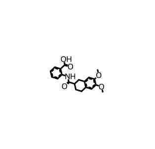 COc1cc2c(cc1OC)CC(C(=O)Nc1ccccc1C(=O)O)CC2